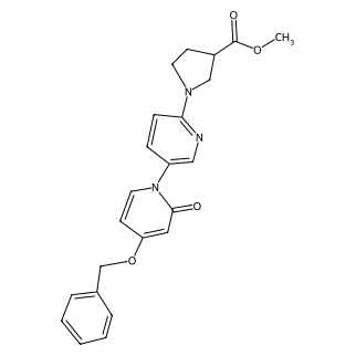 COC(=O)C1CCN(c2ccc(-n3ccc(OCc4ccccc4)cc3=O)cn2)C1